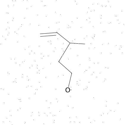 C=CC(C)CC[O]